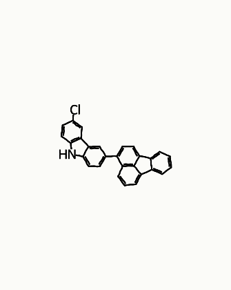 Clc1ccc2[nH]c3ccc(-c4ccc5c6c(cccc46)-c4ccccc4-5)cc3c2c1